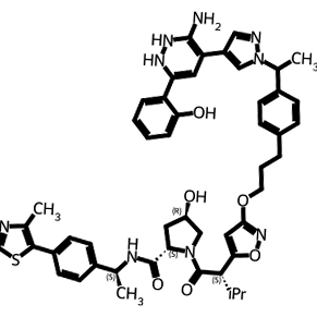 Cc1ncsc1-c1ccc([C@H](C)NC(=O)[C@@H]2C[C@@H](O)CN2C(=O)[C@H](c2cc(OCCCc3ccc(C(C)n4cc(C5=C(N)NNC(c6ccccc6O)=C5)cn4)cc3)no2)C(C)C)cc1